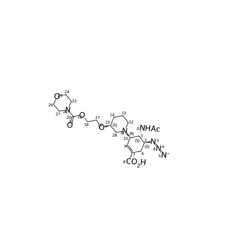 CC(=O)N[C@@H]1[C@@H](N=[N+]=[N-])CC(C(=O)O)=C[C@H]1N1CCC[C@H](OCCOC(=O)N2CCOCC2)C1